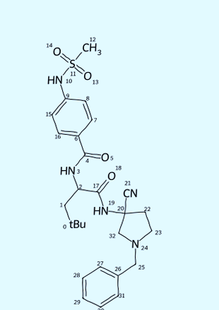 CC(C)(C)CC(NC(=O)c1ccc(NS(C)(=O)=O)cc1)C(=O)NC1(C#N)CCN(Cc2ccccc2)C1